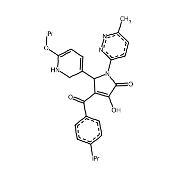 Cc1ccc(N2C(=O)C(O)=C(C(=O)c3ccc(C(C)C)cc3)C2C2=CC=C(OC(C)C)NC2)nn1